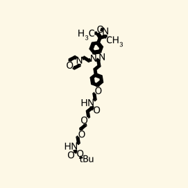 Cc1noc(C)c1-c1ccc2c(c1)nc(CCc1ccc(OCCNC(=O)CCOCCOCCNC(=O)OC(C)(C)C)cc1)n2CCN1CCOCC1